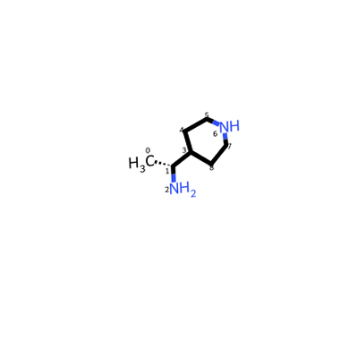 C[C@@H](N)C1CCNCC1